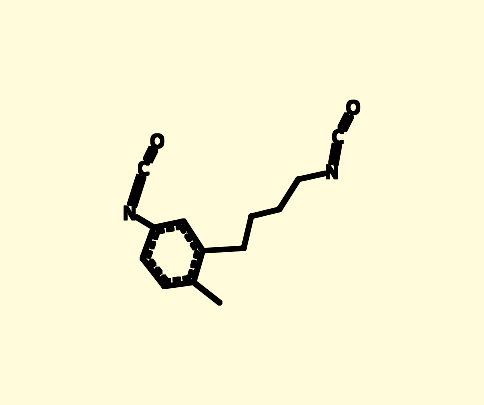 Cc1ccc(N=C=O)cc1CCCCN=C=O